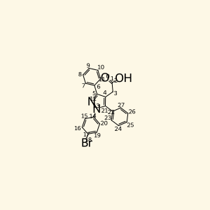 O=C(O)Cc1c(-c2ccccc2)nn(-c2ccc(Br)cc2)c1-c1ccccc1